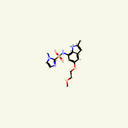 COCCOc1cc(NS(=O)(=O)c2nccn2C)c2[nH]c(C)cc2c1